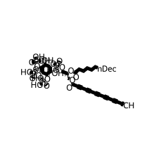 C#CC#CC#CC#CC#CC#CC(=O)OC[C@H](COP(=O)(O)OC1C(O)[C@@H](OP(=O)(O)O)C(OP(=O)(O)O)[C@@H](OP(=O)(O)O)[C@H]1O)OC(=O)CCCCCCCCCCCCCCC